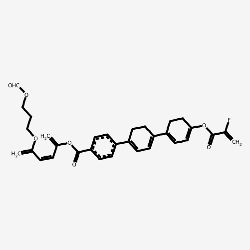 C=C(/C=C\C(=C)OC(=O)c1ccc(C2=CC=C(C3=CC=C(OC(=O)C(=C)F)CC3)CC2)cc1)OCCCOC=O